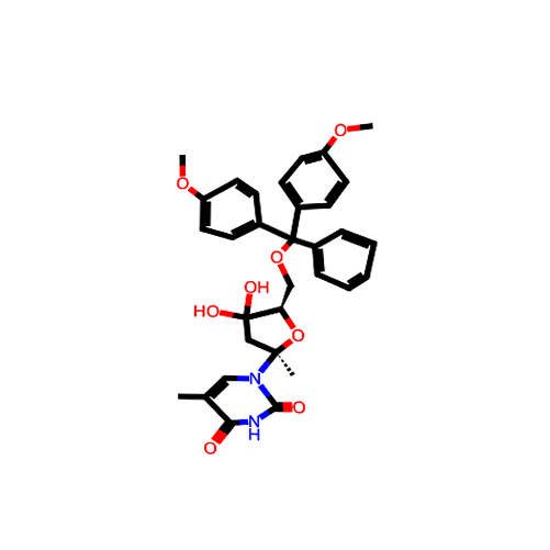 COc1ccc(C(OC[C@H]2O[C@@](C)(n3cc(C)c(=O)[nH]c3=O)CC2(O)O)(c2ccccc2)c2ccc(OC)cc2)cc1